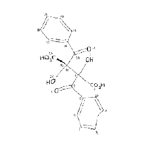 O=C(O)C(O)(C(=O)c1ccccc1)[C@@](O)(C(=O)O)C(=O)c1ccccc1